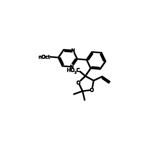 C=CC1OC(C)(C)OC1(C(=O)O)c1ccccc1-c1ncc(CCCCCCCC)cn1